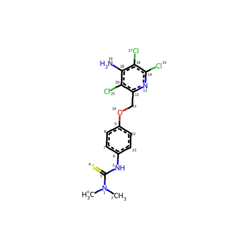 CN(C)C(=S)Nc1ccc(OCc2nc(Cl)c(Cl)c(N)c2Cl)cc1